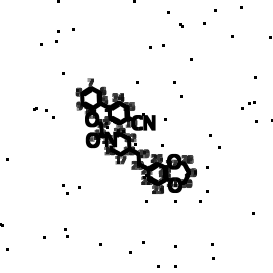 N#Cc1ccc(-c2ccccc2OCC(=O)N2CCC(CCc3ccc4c(c3)OCCCO4)CC2)cc1